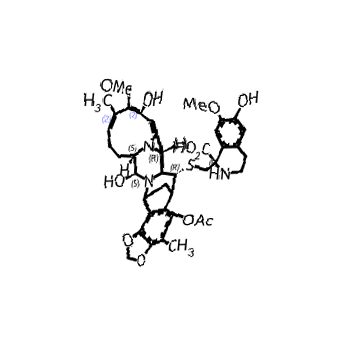 COC1=C(\O)C2=CN3[C@H]2C2[C@H](SC[C@@]4(C(=O)O)NCCc5cc(O)c(OC)cc54)C4CC(c5c6c(c(C)c(OC(C)=O)c54)OCO6)N2[C@@H](O)[C@@H]3CC/C=C\1C